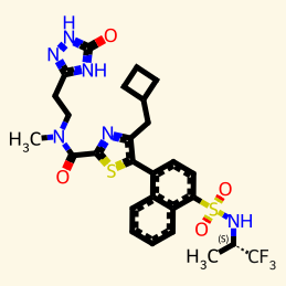 C[C@H](NS(=O)(=O)c1ccc(-c2sc(C(=O)N(C)CCc3n[nH]c(=O)[nH]3)nc2CC2CCC2)c2ccccc12)C(F)(F)F